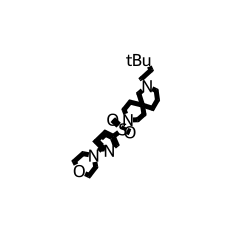 CC(C)(C)CCN1CCCC2(CCN(S(=O)(=O)c3ccc(N4CCOCC4)nc3)CC2)C1